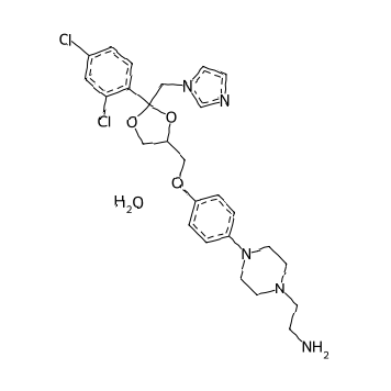 NCCN1CCN(c2ccc(OCC3COC(Cn4ccnc4)(c4ccc(Cl)cc4Cl)O3)cc2)CC1.O